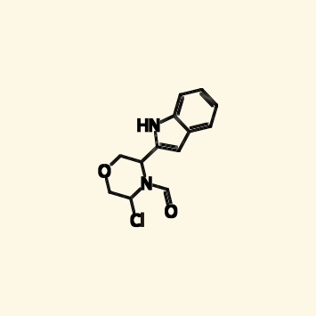 O=CN1C(Cl)COCC1c1cc2ccccc2[nH]1